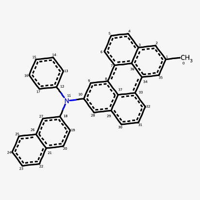 Cc1cc2cccc3c4cc(N(c5ccccc5)c5ccc6ccccc6c5)cc5cccc(c(c1)c23)c54